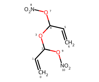 C=CC(OC(C=C)O[N+](=O)[O-])O[N+](=O)[O-]